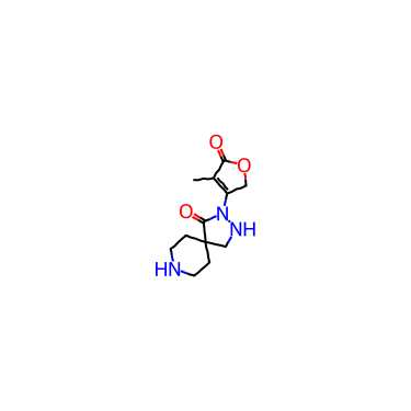 CC1=C(N2NCC3(CCNCC3)C2=O)COC1=O